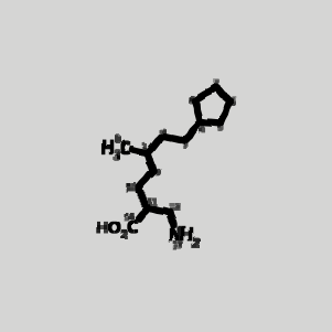 CC(CCC1CCCC1)CCC(CN)C(=O)O